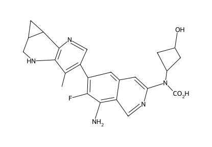 Cc1c(-c2cc3cc(N(C(=O)O)C4CC(O)C4)ncc3c(N)c2F)cnc2c1NCC1CC21